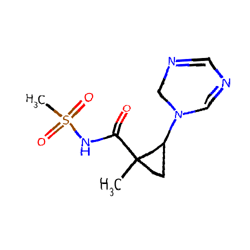 CC1(C(=O)NS(C)(=O)=O)CC1N1C=NC=NC1